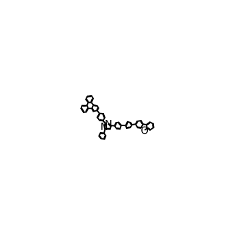 c1ccc(-c2cc(-c3ccc(-c4ccc(-c5ccc6c(c5)oc5ccccc56)cc4)cc3)nc(-c3ccc(-c4ccc5c6ccccc6c6ccccc6c5c4)cc3)n2)cc1